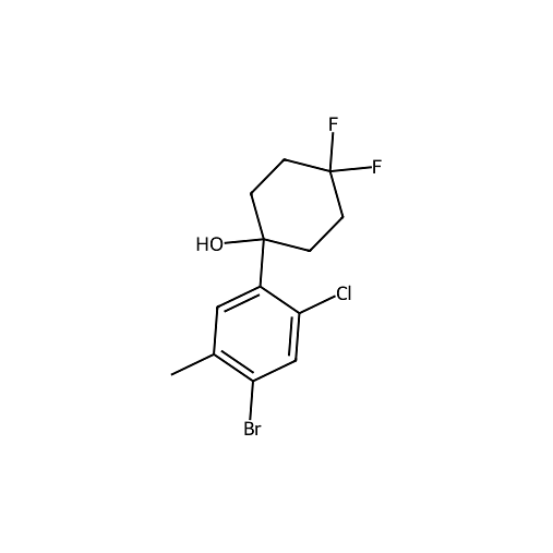 Cc1cc(C2(O)CCC(F)(F)CC2)c(Cl)cc1Br